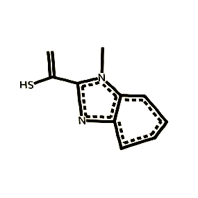 C=C(S)c1nc2ccccc2n1C